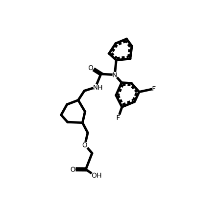 O=C(O)COCC1CCCC(CNC(=O)N(c2ccccc2)c2cc(F)cc(F)c2)C1